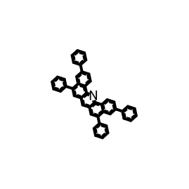 c1ccc(-c2ccc3c(c2)c(-c2ccccc2)cc2cc4cc(-c5ccccc5)c5cc(-c6ccccc6)ccc5c4nc23)cc1